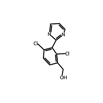 OCc1ccc(Cl)c(-c2ncccn2)c1Cl